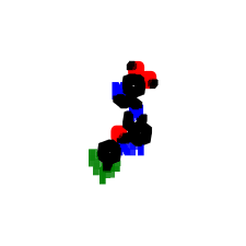 COc1cc2nccc(CN3CCc4c(cccc4C(=O)Nc4ccc(F)c(C(F)(F)F)c4)C3)c2cc1OC